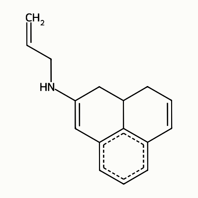 C=CCNC1=Cc2cccc3c2C(CC=C3)C1